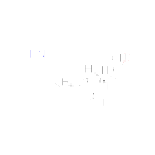 C=C1C[C@@H]2[C@H](CC[C@]3(C)C(=O)CC[C@@H]23)[C@@]2(C)CC[C@@H](/C=C\CCCN)CC12